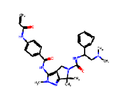 C=CC(=O)Nc1ccc(C(=O)Nc2c3c(nn2C)C(C)(C)N(C(=O)NC(CN(C)C)c2ccccc2)C3)cc1